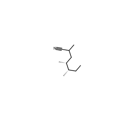 CC[C@H](C)[C@H](C)CC(C)C#N